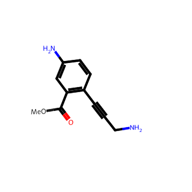 COC(=O)c1cc(N)ccc1C#CCN